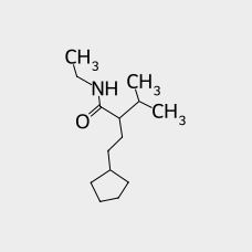 CCNC(=O)C(CCC1CCCC1)C(C)C